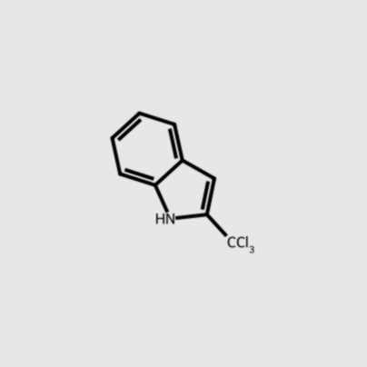 ClC(Cl)(Cl)c1cc2ccccc2[nH]1